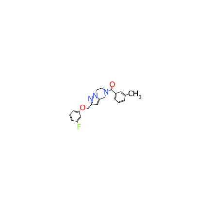 Cc1cccc(C(=O)N2CCn3nc(COc4cccc(F)c4)cc3C2)c1